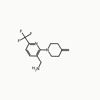 C=C1CCN(c2nc(C(F)(F)F)ccc2CN)CC1